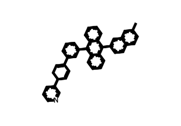 Cc1ccc2ccc(-c3c4ccccc4c(-c4cccc(C5=CCC(c6cccnc6)C=C5)c4)c4ccccc34)cc2c1